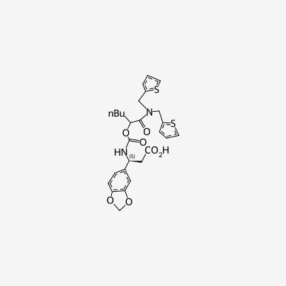 CCCCC(OC(=O)N[C@@H](CC(=O)O)c1ccc2c(c1)OCO2)C(=O)N(Cc1cccs1)Cc1cccs1